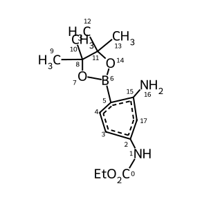 CCOC(=O)Nc1ccc(B2OC(C)(C)C(C)(C)O2)c(N)c1